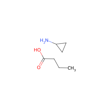 CCCC(=O)O.NC1CC1